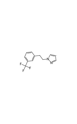 FC(F)(F)c1cccc(CCn2c[c]cn2)c1